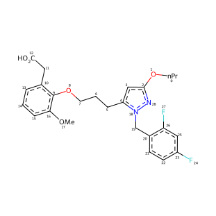 CCCOc1cc(CCCOc2c(CC(=O)O)cccc2OC)n(Cc2ccc(F)cc2F)n1